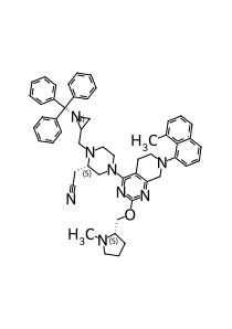 Cc1cccc2cccc(N3CCc4c(nc(OC[C@@H]5CCCN5C)nc4N4CCN(CC5C[N@@]5C(c5ccccc5)(c5ccccc5)c5ccccc5)[C@@H](CC#N)C4)C3)c12